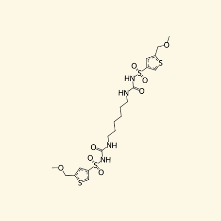 COCc1cc(S(=O)(=O)NC(=O)NCCCCCCNC(=O)NS(=O)(=O)c2csc(COC)c2)cs1